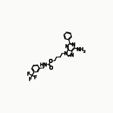 Nc1nc(-c2ccccc2)nc2c1ncn2CCCCOC(=O)NCc1cccc(C(F)(F)F)c1